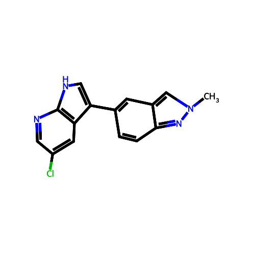 Cn1cc2cc(-c3c[nH]c4ncc(Cl)cc34)ccc2n1